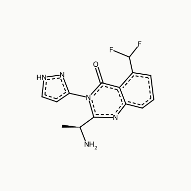 C[C@H](N)c1nc2cccc(C(F)F)c2c(=O)n1-c1cc[nH]n1